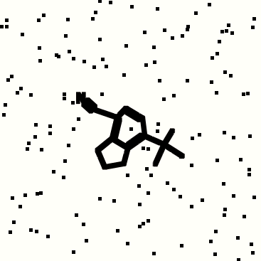 CC(C)(C)c1ccc(C#N)c2c1CCC2